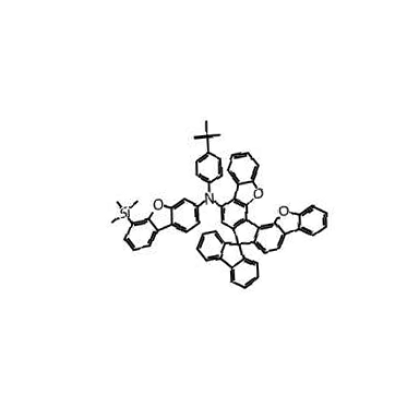 CC(C)(C)c1ccc(N(c2ccc3c(c2)oc2c([Si](C)(C)C)cccc23)c2cc3c(c4oc5ccccc5c24)-c2c(ccc4c2oc2ccccc24)C32c3ccccc3-c3ccccc32)cc1